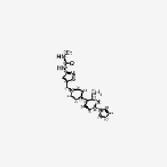 CCNC(=O)Nc1cc(CN2CCC(c3ccc(-n4cccn4)nc3C)CC2)sn1